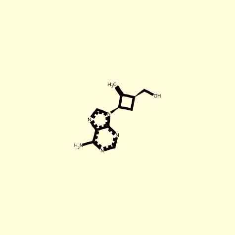 C=C1[C@@H](CO)C[C@H]1n1cnc2c(N)ncnc21